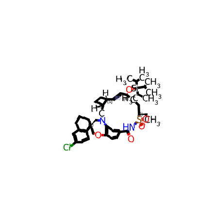 CC[C@@H]1CC[C@@H](O[Si](C(C)C)(C(C)C)C(C)C)/C=C/[C@@H]2CC[C@H]2CN2C[C@@]3(CCCc4cc(Cl)ccc43)COc3ccc(cc32)C(=O)NS1(=O)=O